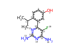 CC(C)c1ccc(O)cc1-c1nc(N)nc(N)c1F